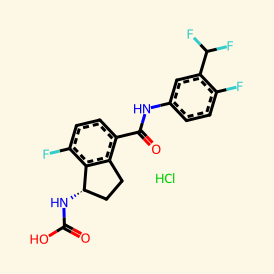 Cl.O=C(O)N[C@H]1CCc2c(C(=O)Nc3ccc(F)c(C(F)F)c3)ccc(F)c21